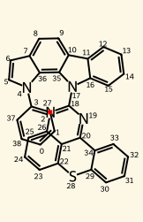 c1ccc(-n2ccc3ccc4c5ccccc5n(-c5nc6c7c(cccc7n5)Sc5ccccc5-6)c4c32)cc1